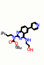 CC(C)CCN(C(=O)OC(C)(C)C)c1nc(NCCO)c2cc(-c3ccncc3)ccc2n1